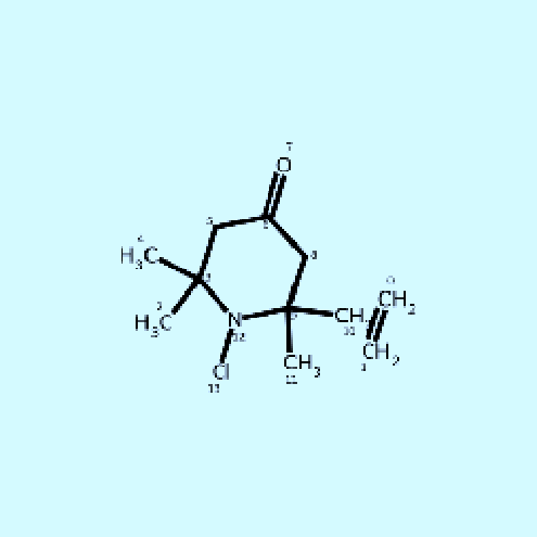 C=C.CC1(C)CC(=O)CC(C)(C)N1Cl